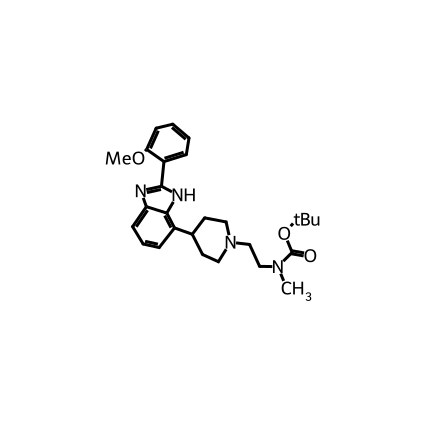 COc1ccccc1-c1nc2cccc(C3CCN(CCN(C)C(=O)OC(C)(C)C)CC3)c2[nH]1